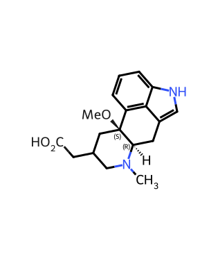 CO[C@]12CC(CC(=O)O)CN(C)[C@@H]1Cc1c[nH]c3cccc2c13